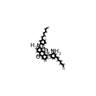 CCCCCCc1ccc(Sc2cccc3c2C(=O)c2c(Sc4ccc(CCCCCC)cc4N)cccc2C3=O)c(N)c1